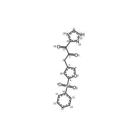 O=C(Cc1coc(S(=O)(=O)c2ccccc2)c1)C(=O)c1nc[nH]n1